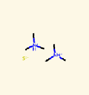 C[NH+](C)C.C[NH+](C)C.[S-2]